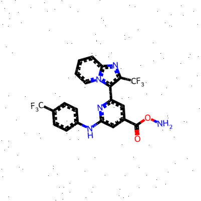 NOC(=O)c1cc(Nc2ccc(C(F)(F)F)cc2)nc(-c2c(C(F)(F)F)nc3ccccn23)c1